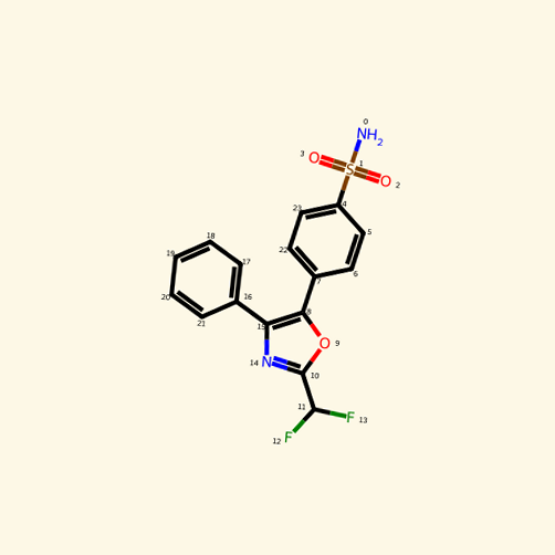 NS(=O)(=O)c1ccc(-c2oc(C(F)F)nc2-c2ccccc2)cc1